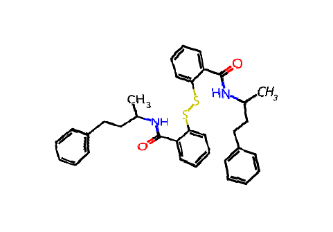 CC(CCc1ccccc1)NC(=O)c1ccccc1SSc1ccccc1C(=O)NC(C)CCc1ccccc1